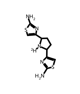 [2H]N1C(c2csc(N)n2)CCC1c1csc(N)n1